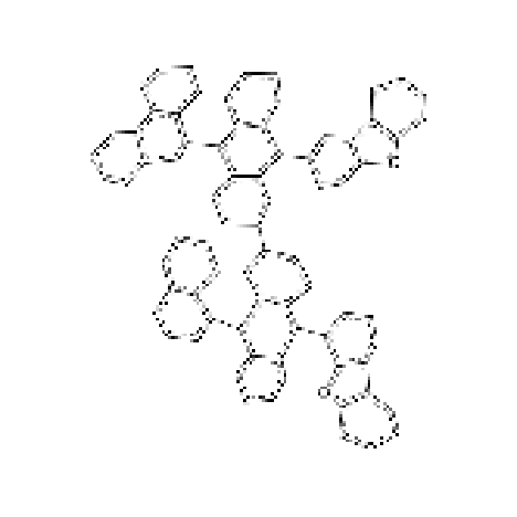 c1ccc2c(-c3c4ccccc4c(-c4cccc5c4oc4ccccc45)c4ccc(-c5ccc6c(-c7cc8ccccc8c8ccccc78)c7ccccc7c(-c7ccc8oc9ccccc9c8c7)c6c5)cc34)cccc2c1